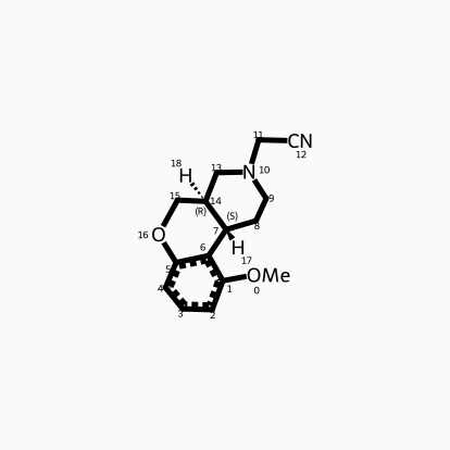 COc1cccc2c1[C@H]1CCN(CC#N)C[C@@H]1CO2